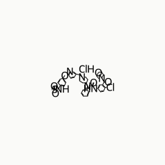 CS(=O)(=O)Nc1ccc(Oc2ccc(CN3CCC(N(C(=O)Nc4ccc(Cl)c(C(=O)N5CCOCC5)c4)c4ccccc4)CC3)cn2)cc1.Cl